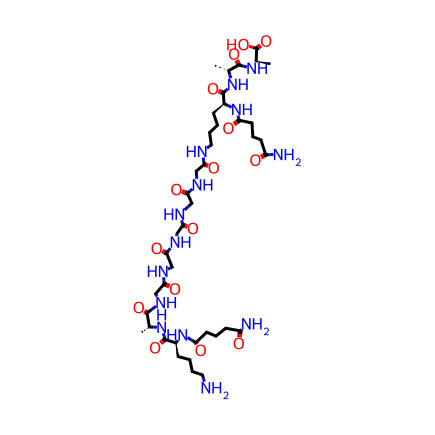 C[C@@H](NC(=O)[C@@H](C)NC(=O)[C@H](CCCCNC(=O)CNC(=O)CNC(=O)CNC(=O)CNC(=O)CNC(=O)[C@@H](C)NC(=O)[C@H](CCCCN)NC(=O)CCCC(N)=O)NC(=O)CCCC(N)=O)C(=O)O